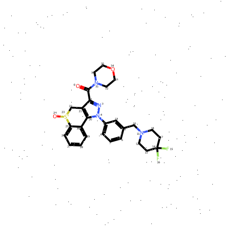 O=C(c1nn(-c2cccc(CN3CCC(F)(F)CC3)c2)c2c1C[S+]([O-])c1ccccc1-2)N1CCOCC1